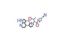 CC(C)C(C(=O)N1CC(C#N)C1)n1ccc2c1C(=O)c1c[nH]c3nccc-2c13